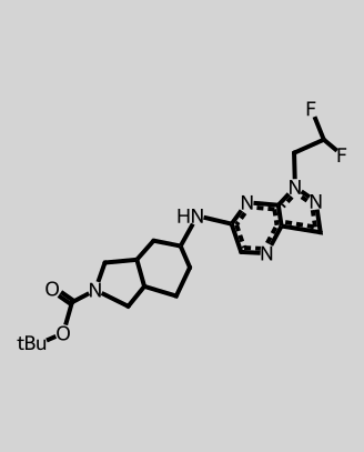 CC(C)(C)OC(=O)N1CC2CCC(Nc3cnc4cnn(CC(F)F)c4n3)CC2C1